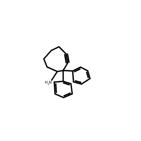 NC1CCCCC#CC1(c1ccccc1)c1ccccc1